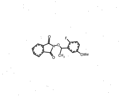 COc1ccc(F)c(C(C)ON2C(=O)c3ccccc3C2=O)c1